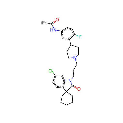 CC(C)C(=O)Nc1ccc(F)c(C2CCN(CCCNC(=O)C3(c4ccc(Cl)cc4)CCCCC3)CC2)c1